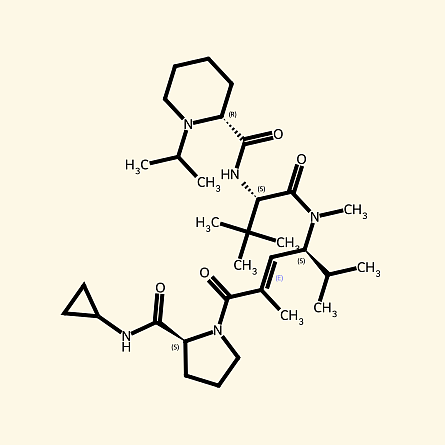 C/C(=C\[C@H](C(C)C)N(C)C(=O)[C@@H](NC(=O)[C@H]1CCCCN1C(C)C)C(C)(C)C)C(=O)N1CCC[C@H]1C(=O)NC1CC1